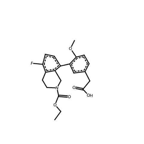 CCOC(=O)N1CCc2c(F)ccc(-c3cc(CC(=O)O)ccc3OC)c2C1